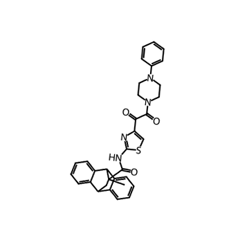 CC1(C(=O)Nc2nc(C(=O)C(=O)N3CCN(c4ccccc4)CC3)cs2)CC2c3ccccc3C1c1ccccc12